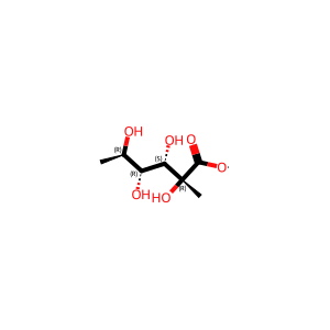 C[C@@H](O)[C@@H](O)[C@H](O)[C@@](C)(O)C([O])=O